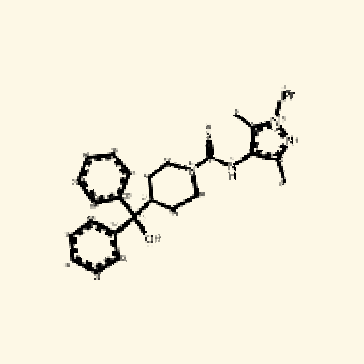 Cc1nn(C(C)C)c(C)c1NC(=S)N1CCC(C(O)(c2ccccc2)c2ccccc2)CC1